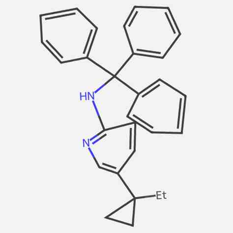 CCC1(c2ccc(NC(c3ccccc3)(c3ccccc3)c3ccccc3)nc2)CC1